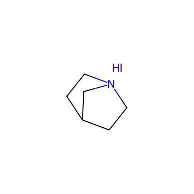 C1CN2CCC1C2.I